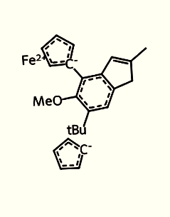 COc1c(C(C)(C)C)cc2c(c1-[c-]1cccc1)C=C(C)C2.[Fe+2].c1cc[cH-]c1